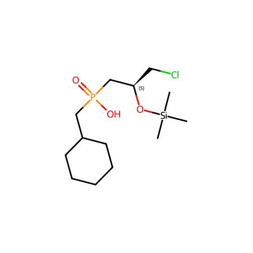 C[Si](C)(C)O[C@H](CCl)CP(=O)(O)CC1CCCCC1